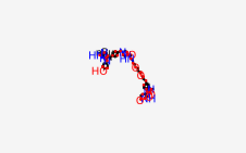 CCCCNc1ncc2c(-c3ccc(CN4CCN(C(=O)NCCCOCCCOCCCc5ccc6c(c5)n(C)c(=O)n6C5CCC(=O)NC5=O)CC4)cc3)cn([C@H]3CC[C@H](O)CC3)c2n1